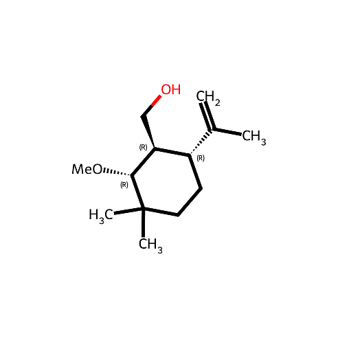 C=C(C)[C@@H]1CCC(C)(C)[C@H](OC)[C@H]1CO